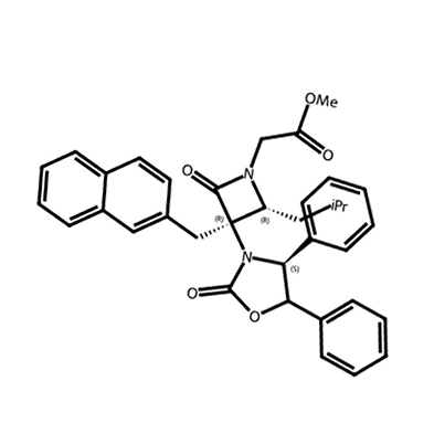 COC(=O)CN1C(=O)[C@](Cc2ccc3ccccc3c2)(N2C(=O)OC(c3ccccc3)[C@@H]2c2ccccc2)[C@H]1CC(C)C